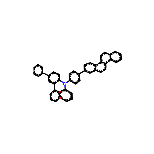 c1ccc(-c2ccc(N(c3ccccc3)c3ccc(-c4ccc5c(ccc6c7ccccc7ccc56)c4)cc3)c(-c3ccccc3)c2)cc1